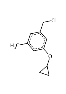 Cc1cc(CCl)cc(OC2CC2)c1